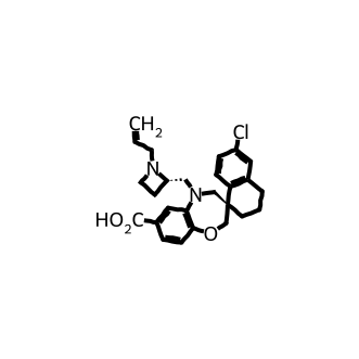 C=CCN1CC[C@H]1CN1C[C@@]2(CCCc3cc(Cl)ccc32)COc2ccc(C(=O)O)cc21